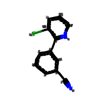 N#Cc1cccc(-c2ncccc2F)c1